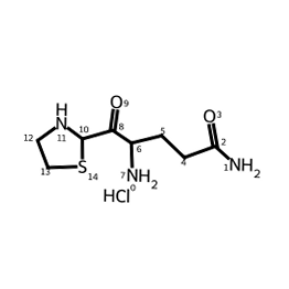 Cl.NC(=O)CCC(N)C(=O)C1NCCS1